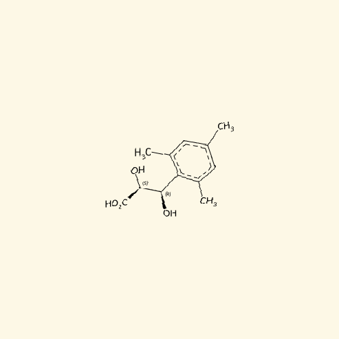 Cc1cc(C)c([C@@H](O)[C@H](O)C(=O)O)c(C)c1